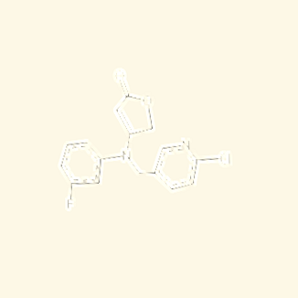 O=C1C=C(N(Cc2ccc(Cl)nc2)c2cccc(F)c2)CO1